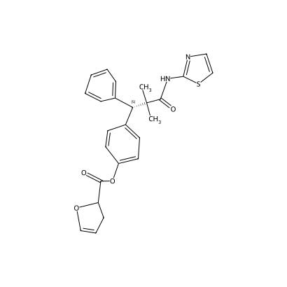 CC(C)(C(=O)Nc1nccs1)[C@@H](c1ccccc1)c1ccc(OC(=O)C2CC=CO2)cc1